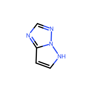 c1nc2cc[nH]n2n1